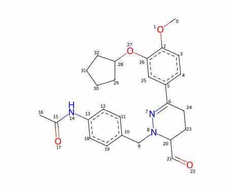 COc1ccc(C2=NN(Cc3ccc(NC(C)=O)cc3)C(C=O)CC2)cc1OC1CCCC1